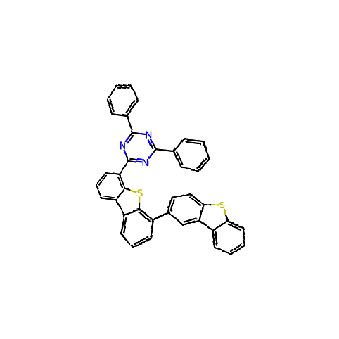 c1ccc(-c2nc(-c3ccccc3)nc(-c3cccc4c3sc3c(-c5ccc6sc7ccccc7c6c5)cccc34)n2)cc1